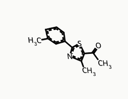 CC(=O)c1sc(-c2cccc(C)c2)nc1C